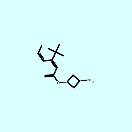 C=C(/C=C(\C=C/C)C(C)(C)C)O[C@H]1C[C@@H](N)C1